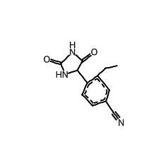 CCc1cc(C#N)ccc1C1NC(=O)NC1=O